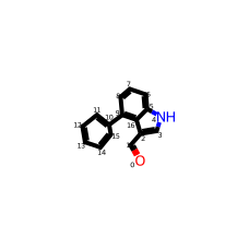 O=Cc1c[nH]c2cccc(-c3ccccc3)c12